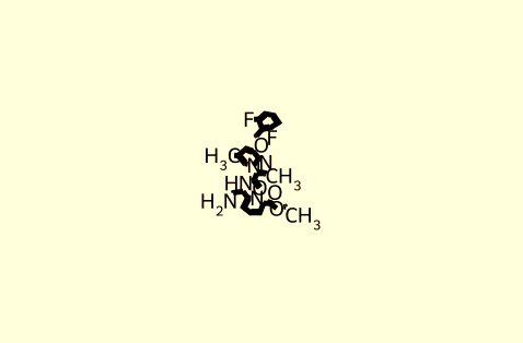 CCOC(=O)c1cccc(C(CN)NC(=O)c2c(C)nc3c(OCc4c(F)cccc4F)cc(C)cn23)n1